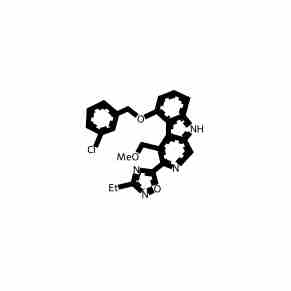 CCc1noc(-c2ncc3[nH]c4cccc(OCc5cccc(Cl)c5)c4c3c2COC)n1